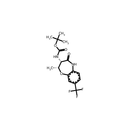 C[C@H]1Oc2cc(C(F)(F)F)ccc2NC(=O)[C@H]1NC(=O)OC(C)(C)C